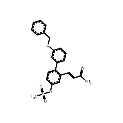 NC(=O)/C=C/c1cc(OS(=O)(=O)C(F)(F)F)ccc1-c1cccc(OCc2ccccc2)c1